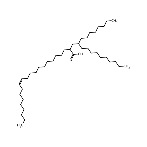 CCCCCCCC/C=C\CCCCCCCCCCC(CC(CCCCCCCC)CCCCCCCCCC)C(=O)O